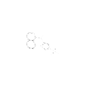 CC(c1cn(S(C)(=O)=O)cn1)c1nccc2ccccc12